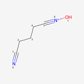 N#CCCCC#[N+]O